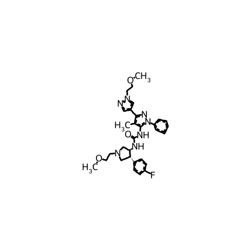 COCCN1C[C@@H](NC(=O)Nc2c(C)c(-c3cnn(CCOC)c3)nn2-c2ccccc2)[C@H](c2ccc(F)cc2)C1